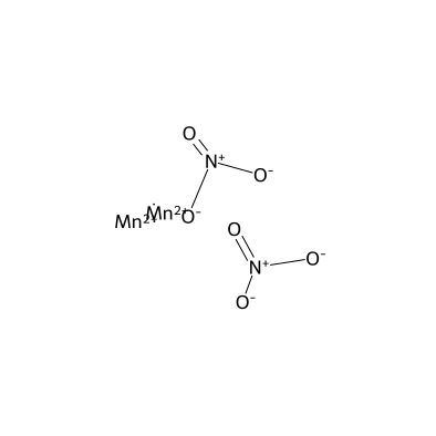 O=[N+]([O-])[O-].O=[N+]([O-])[O-].[Mn+2].[Mn+2]